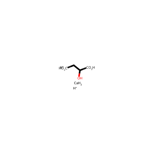 O=C(O)CC(O)C(=O)O.[CaH2].[H+].[H+]